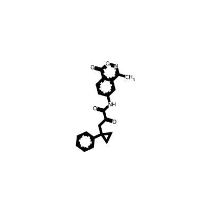 Cc1noc(=O)c2ccc(NC(=O)C(=O)CC3(c4ccccc4)CC3)cc12